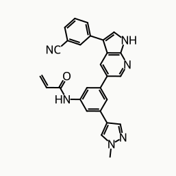 C=CC(=O)Nc1cc(-c2cnc3[nH]cc(-c4cccc(C#N)c4)c3c2)cc(-c2cnn(C)c2)c1